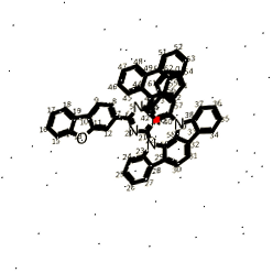 c1ccc(-c2nc(-c3ccc4c(c3)oc3ccccc34)nc(-n3c4ccccc4c4ccc5c6ccccc6n(-c6ccc7c8ccccc8c8ccccc8c7c6)c5c43)n2)cc1